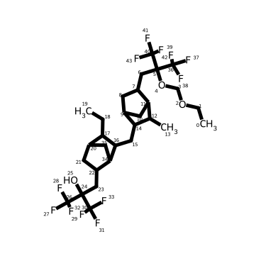 CCOCOC(CC1CC2CC1C(C)C2CC1C(CC)C2CC(CC(O)(C(F)(F)F)C(F)(F)F)C1C2)(C(F)(F)F)C(F)(F)F